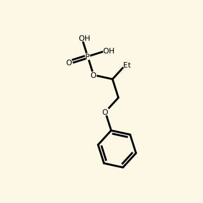 CCC(COc1ccccc1)OP(=O)(O)O